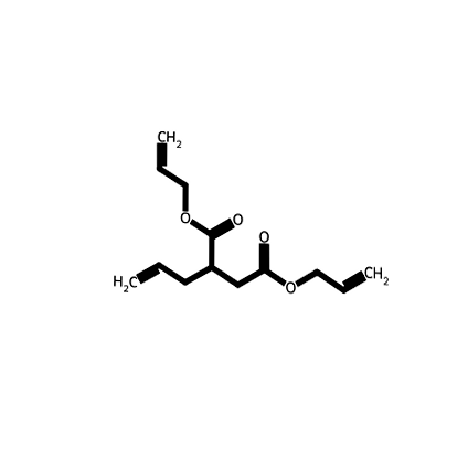 C=CCOC(=O)CC(CC=C)C(=O)OCC=C